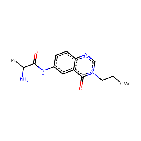 COCCn1cnc2ccc(NC(=O)C(N)C(C)C)cc2c1=O